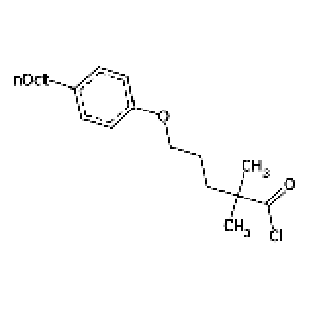 CCCCCCCCc1ccc(OCCCC(C)(C)C(=O)Cl)cc1